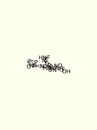 CC(C)c1ccccc1[C@@H]1CN(C(=O)C2CC2)CCN1C1CC2(CCN(c3ccc(C(=O)NS(=O)(=O)c4cnc(NCC5CCC(C)(O)CC5)c([N+](=O)[O-])c4)c(Oc4cnc5[nH]cc(F)c5c4)c3)CC2)C1